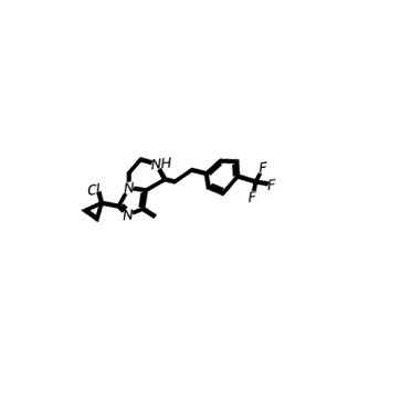 Cc1nc(C2(Cl)CC2)n2c1C(CCc1ccc(C(F)(F)F)cc1)NCC2